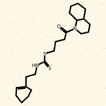 O=C(CCCSC(=S)NCCC1=CCCCC1)N1CCCC2CCCCC21